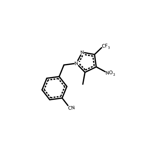 Cc1c([N+](=O)[O-])c(C(F)(F)F)nn1Cc1cccc(C#N)c1